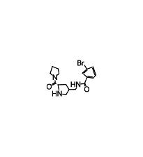 O=C(NCC1CN[C@H](C(=O)N2CCCC2)C1)c1cccc(Br)c1